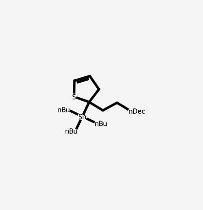 CCCCCCCCCCCC[C]1([Sn]([CH2]CCC)([CH2]CCC)[CH2]CCC)CC=CS1